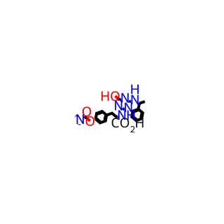 CC(Nc1nc(O)nc(N[C@@H](Cc2ccc(OC(=O)N(C)C)cc2)C(=O)O)n1)c1ccccc1